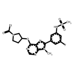 CCC(=O)N1CCC(Oc2ncnc3c2nc(-c2cc(F)cc(NS(C)(=O)=O)c2)n3C)C1